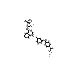 CCOC(=O)c1cnc(Nc2cc(COc3ccc(NC(=O)OC(C)(C)C)c4ccccc34)ccn2)cn1